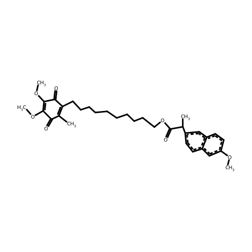 COC1=C(OC)C(=O)C(CCCCCCCCCCOC(=O)C(C)c2ccc3cc(OC)ccc3c2)=C(C)C1=O